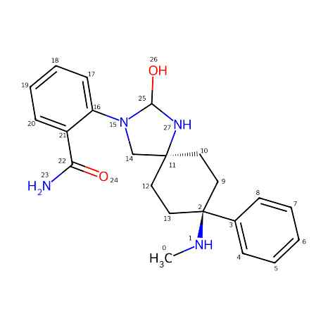 CN[C@]1(c2ccccc2)CC[C@]2(CC1)CN(c1ccccc1C(N)=O)C(O)N2